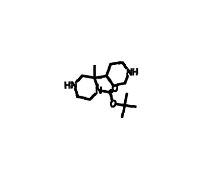 CC(C)(C)OC(=O)N1CCNCC1(C)C1CCNCC1